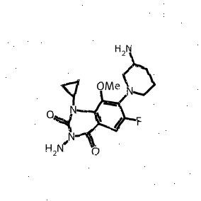 COc1c(N2CCCC(N)C2)c(F)cc2c(=O)n(N)c(=O)n(C3CC3)c12